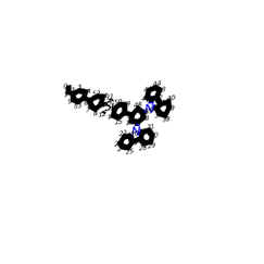 C=Cc1ccc(-c2ccc([Si](C)(C)c3ccc(-c4cc(-n5c6ccccc6c6ccccc65)cc(-n5c6ccccc6c6ccccc65)c4)cc3)cc2)cc1